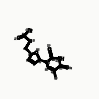 CCC(=O)OC[C@@H]1C=C[C@H](n2cc(C)c(=O)[nH]c2=O)O1